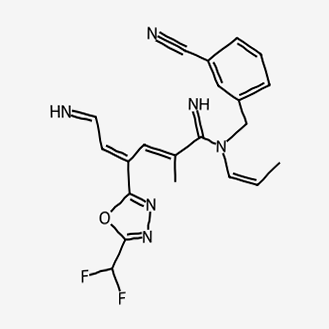 C/C=C\N(Cc1cccc(C#N)c1)C(=N)/C(C)=C/C(=C\C=N)c1nnc(C(F)F)o1